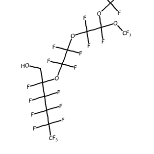 OCC(F)(OC(F)(F)C(F)(F)OC(F)(F)C(F)(OC(F)(F)F)OC(F)(F)C(F)(F)F)C(F)(F)C(F)(F)C(F)(F)C(F)(F)F